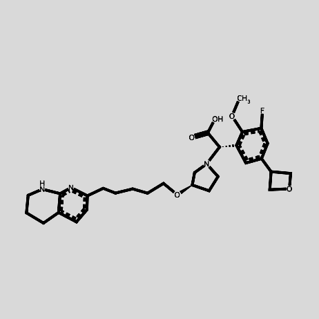 COc1c(F)cc(C2COC2)cc1[C@@H](C(=O)O)N1CC[C@@H](OCCCCCc2ccc3c(n2)NCCC3)C1